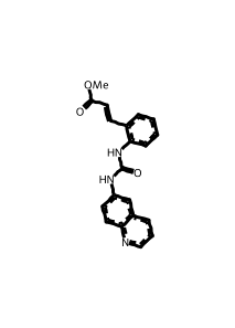 COC(=O)C=Cc1ccccc1NC(=O)Nc1ccc2ncccc2c1